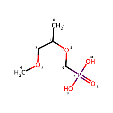 [CH2]C(COC)OCP(=O)(O)O